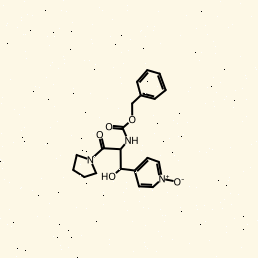 O=C(NC(C(=O)N1CCCC1)C(O)c1cc[n+]([O-])cc1)OCc1ccccc1